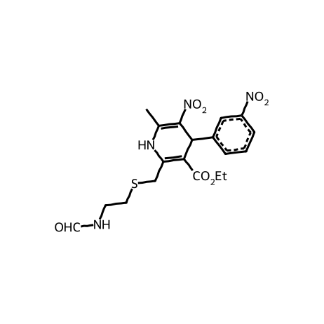 CCOC(=O)C1=C(CSCCNC=O)NC(C)=C([N+](=O)[O-])C1c1cccc([N+](=O)[O-])c1